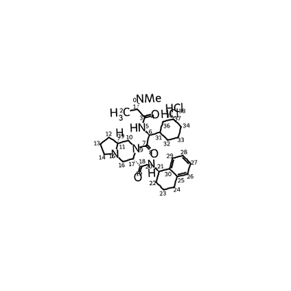 CN[C@@H](C)C(=O)N[C@H](C(=O)N1C[C@@H]2CCCN2C[C@H]1C(=O)N[C@@H]1CCCc2ccccc21)C1CCCCC1.Cl.Cl